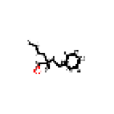 CCCCC(C)(C=O)CCc1ccccc1